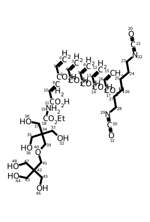 C=CC(=O)O.C=CC(=O)O.C=CC(=O)O.C=CC(=O)O.C=CC(=O)O.C=CC(=O)O.CCOC(N)=O.O=C=NCCCCCCN=C=O.OCC(CO)(CO)COCC(CO)(CO)CO